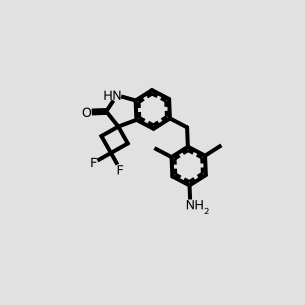 Cc1cc(N)cc(C)c1Cc1ccc2c(c1)C1(CC(F)(F)C1)C(=O)N2